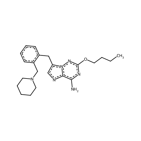 CCCCOc1nc(N)c2ncc(Cc3ccccc3CN3CCCCC3)n2n1